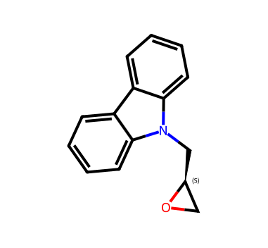 c1ccc2c(c1)c1ccccc1n2C[C@H]1CO1